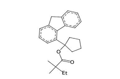 CCC(C)(C)C(=O)OC1(c2cccc3c2-c2ccccc2C3)CCCC1